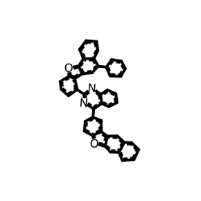 c1ccc(-c2cc3c(oc4cccc(-c5nc(-c6ccc7oc8cc9ccccc9cc8c7c6)c6ccccc6n5)c43)c3ccccc23)cc1